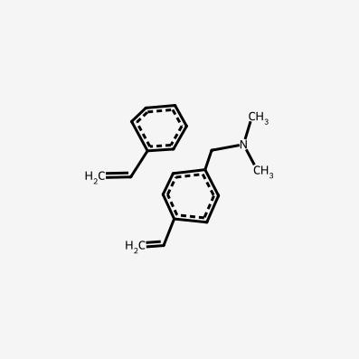 C=Cc1ccc(CN(C)C)cc1.C=Cc1ccccc1